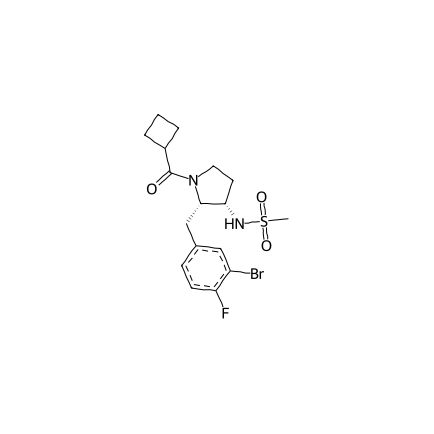 CS(=O)(=O)N[C@H]1CCN(C(=O)C2CCC2)[C@H]1Cc1ccc(F)c(Br)c1